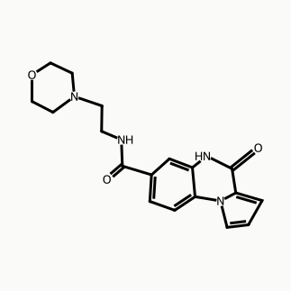 O=C(NCCN1CCOCC1)c1ccc2c(c1)[nH]c(=O)c1cccn12